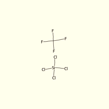 Cl[Si](Cl)(Cl)Cl.FC(F)(F)F